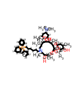 C[C@H]1CN(CCCCCC[PH](c2ccccc2)(c2ccccc2)c2ccccc2)[C@H](C)C[C@](C)(O)COC(=O)[C@H](C)[C@@H](O[C@H]2C[C@H](C)[C@@H](O)[C@H](C)O2)[C@H](C)[C@@H](O[C@H]2C[C@@H](N(C)C)C[C@@H](C)O2)[C@](C)(O)C1